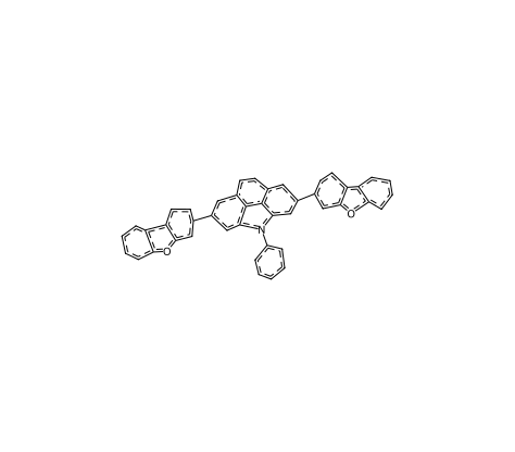 c1ccc(-n2c3cc(-c4ccc5c(c4)oc4ccccc45)cc4ccc5cc(-c6ccc7c(c6)oc6ccccc67)cc2c5c43)cc1